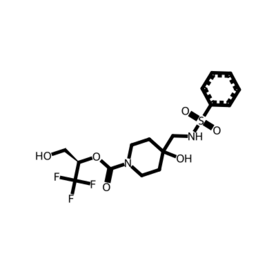 O=C(O[C@H](CO)C(F)(F)F)N1CCC(O)(CNS(=O)(=O)c2ccccc2)CC1